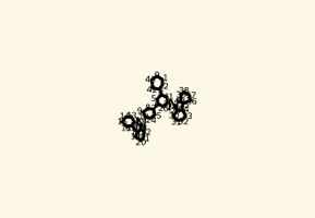 c1ccc(-c2cc(-c3ccc(-n4c5ccccc5c5ccccc54)cc3)cc(-n3c4ccccc4c4ccccc43)c2)cc1